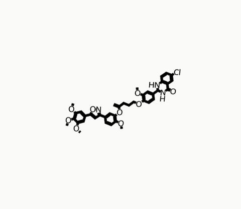 C=C(CCCOc1ccc(C2NC(=O)c3cc(Cl)ccc3N2)cc1OC)Oc1cc(-c2cc(-c3cc(OC)c(OC)c(OC)c3)on2)ccc1OC